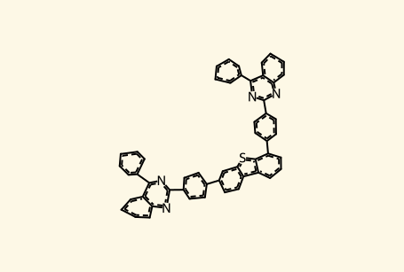 c1ccc(-c2nc(-c3ccc(-c4ccc5c(c4)sc4c(-c6ccc(-c7nc(-c8ccccc8)c8ccccc8n7)cc6)cccc45)cc3)nc3ccccc23)cc1